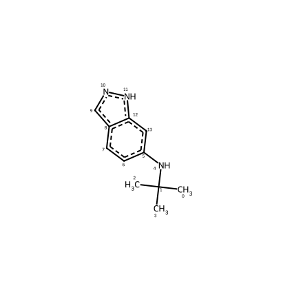 CC(C)(C)Nc1ccc2cn[nH]c2c1